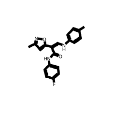 Cc1ccc(NC=C(C(=O)Nc2ccc(F)cc2)c2cc(C)no2)cc1